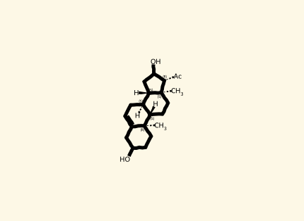 CC(=O)[C@H]1C(O)C[C@H]2[C@@H]3CC=C4CC(O)CC[C@]4(C)[C@H]3CC[C@]12C